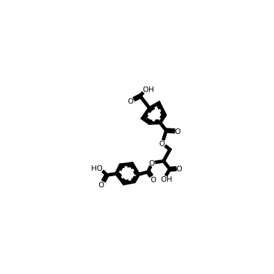 O=C(O)c1ccc(C(=O)OCC(OC(=O)c2ccc(C(=O)O)cc2)C(=O)O)cc1